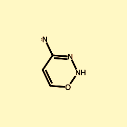 [N]C1=NNOC=C1